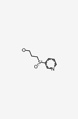 [O]CCC[S+]([O-])c1cccnc1